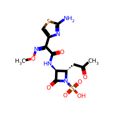 CO/N=C(\C(=O)N[C@@H]1C(=O)N(S(=O)(=O)O)[C@H]1CC(C)=O)c1csc(N)n1